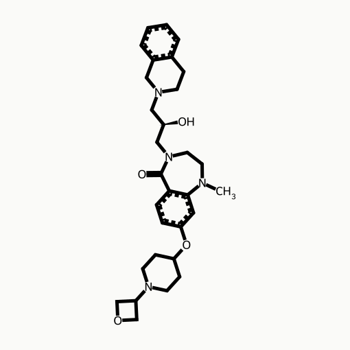 CN1CCN(C[C@H](O)CN2CCc3ccccc3C2)C(=O)c2ccc(OC3CCN(C4COC4)CC3)cc21